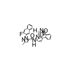 Cc1cc(C(=O)Nc2ccc(-c3ccccc3S(N)(=O)=O)cn2)n(-c2cc3ccccc3cc2F)n1